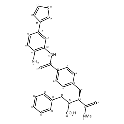 CNC(=O)[C@H](Cc1ccc(C(=O)Nc2cc(-c3ccsc3)ccc2N)cc1)N(Cc1ccccc1)C(=O)O